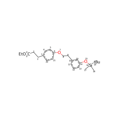 CCOC(=O)CCc1ccc(OCCc2cccc(O[Si](C)(C)C(C)(C)C)c2)cc1